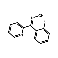 ON=C(c1ccccn1)c1ccccc1Cl